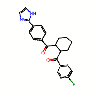 O=C(c1ccc(F)cc1)C1CCCCC1C(=O)c1ccc(-c2ncc[nH]2)cc1